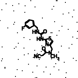 CN(Cc1csc(NC(=O)NCc2cccc(F)c2)n1)C(=O)CC#N